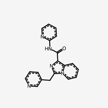 O=C(Nc1ccccn1)c1nc(Cc2cccnc2)n2ccccc12